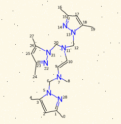 Cc1cc(C)n(CN(C)C=CN(Cn2nc(C)cc2C)Cn2nc(C)cc2C)n1